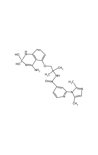 Cc1cnc(C)n1-c1cc(C(=O)NC(C)(C)COc2cccc3c2C(N)=NS(O)(O)N3)ccn1